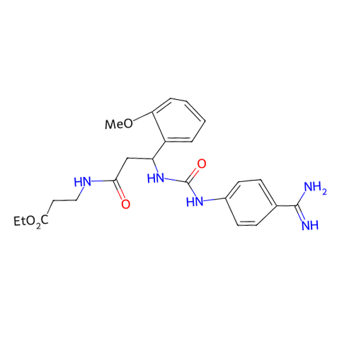 CCOC(=O)CCNC(=O)CC(NC(=O)Nc1ccc(C(=N)N)cc1)c1ccccc1OC